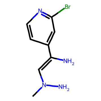 CN(N)/C=C(\N)c1ccnc(Br)c1